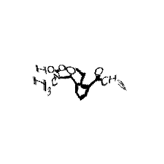 CC(=O)c1cccc2c1CCOC2CN(C)C(=O)O